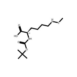 CSNCCCC[C@@H](NC(=O)OC(C)(C)C)C(=O)O